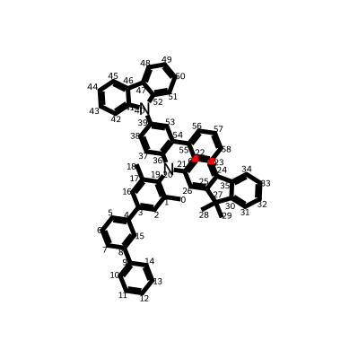 Cc1cc(-c2cccc(-c3ccccc3)c2)cc(C)c1N(c1ccc2c(c1)C(C)(C)c1ccccc1-2)c1ccc(-n2c3ccccc3c3ccccc32)cc1-c1ccccc1